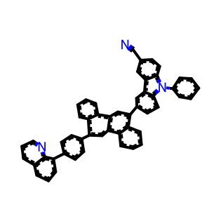 N#Cc1ccc2c(c1)c1cc(-c3cc4c5ccccc5c(-c5ccc(-c6cccc7cccnc67)cc5)cc4c4ccccc34)ccc1n2-c1ccccc1